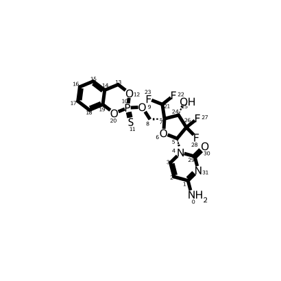 Nc1ccn([C@@H]2O[C@@](COP3(=S)OCc4ccccc4O3)(C(F)F)[C@H](O)C2(F)F)c(=O)n1